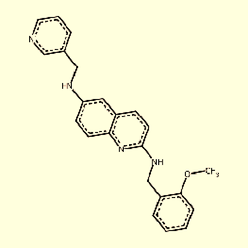 COc1ccccc1CNc1ccc2cc(NCc3cccnc3)ccc2n1